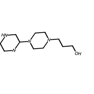 OCCCN1CCN(C2CNCC[N]2)CC1